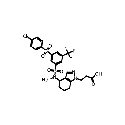 CN(C1CCCc2c1cnn2CCC(=O)O)S(=O)(=O)c1cc(C(F)(F)F)cc(S(=O)(=O)c2ccc(Cl)cc2)c1